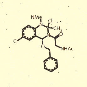 CNN1c2ccc(Cl)cc2C(OCc2ccccc2)N(C(=O)CNC(C)=O)C1(C)Cl